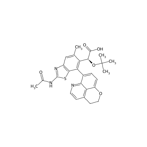 CC(=O)Nc1nc2cc(C)c([C@H](OC(C)(C)C)C(=O)O)c(-c3ccc4c5c(ccnc35)CCO4)c2s1